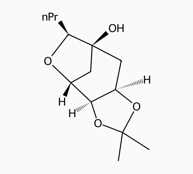 CCC[C@@H]1O[C@@H]2C[C@@]1(O)C[C@H]1OC(C)(C)O[C@@H]21